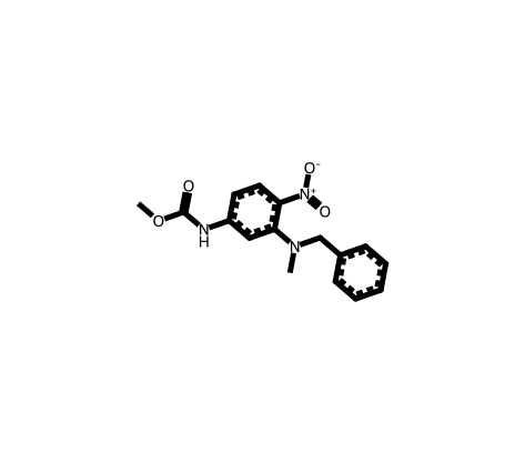 COC(=O)Nc1ccc([N+](=O)[O-])c(N(C)Cc2ccccc2)c1